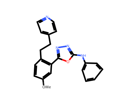 COc1ccc(CCc2ccncc2)c(-c2nnc(Nc3ccccc3)o2)c1